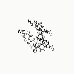 Cc1ccc(C(=O)N2CCC(C3CCC(C#N)CC3)CC2)cc1Nc1cc(C(N)N2CCN(C)CC2)ccn1